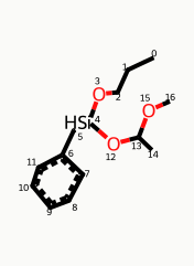 CCCO[SiH](Cc1ccccc1)OC(C)OC